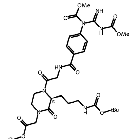 COC(=O)NC(=N)N(C(=O)OC)c1ccc(C(=O)NCC(=O)N2CCN(CC(=O)OC(C)(C)C)C(=O)[C@@H]2CCCNC(=O)OC(C)(C)C)cc1